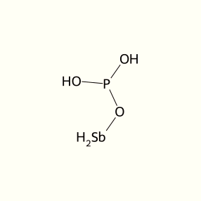 OP(O)[O][SbH2]